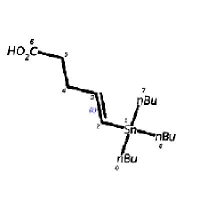 CCC[CH2][Sn](/[CH]=C/CCC(=O)O)([CH2]CCC)[CH2]CCC